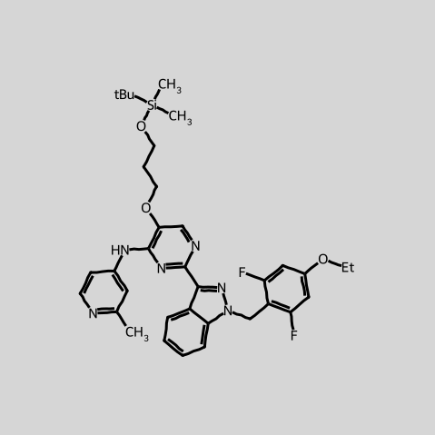 CCOc1cc(F)c(Cn2nc(-c3ncc(OCCCO[Si](C)(C)C(C)(C)C)c(Nc4ccnc(C)c4)n3)c3ccccc32)c(F)c1